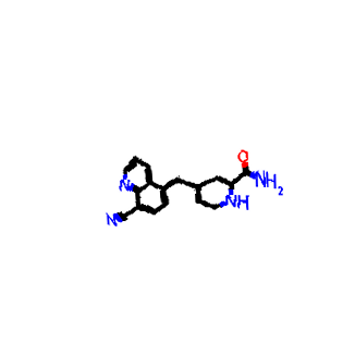 N#Cc1ccc([CH]C2CCNC(C(N)=O)C2)c2cccnc12